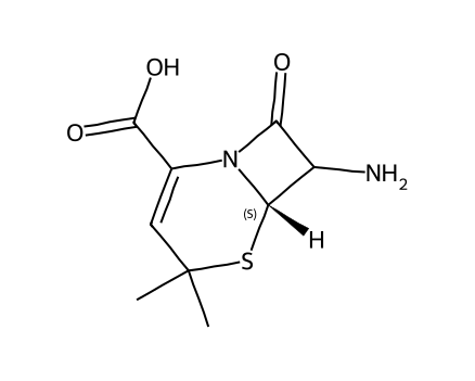 CC1(C)C=C(C(=O)O)N2C(=O)C(N)[C@@H]2S1